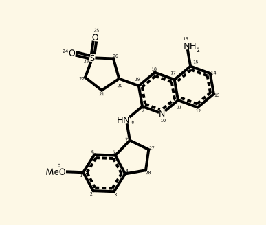 COc1ccc2c(c1)C(Nc1nc3cccc(N)c3cc1C1CCS(=O)(=O)C1)CC2